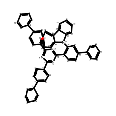 c1ccc(-c2ccc(-c3nc(-c4ccc(-c5ccccc5)cc4)nc(-c4ccc(-c5ccccc5)cc4-n4c5ccccc5c5ccccc54)n3)cc2)cc1